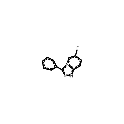 Fc1ccc2nnc(-c3ccccc3)n2c1